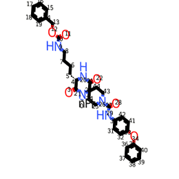 CCCN1C(=O)[C@H](CCCCNC(=O)OCc2ccccc2)NC(=O)C12CCN(C(=O)Nc1ccc(Oc3ccccc3)cc1)CC2